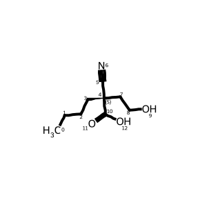 CCCC[C@@](C#N)(CCO)C(=O)O